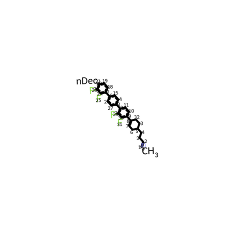 C/C=C/CCC1CC=C(c2ccc(-c3ccc(-c4ccc(CCCCCCCCCC)c(F)c4F)cc3)c(F)c2F)CC1